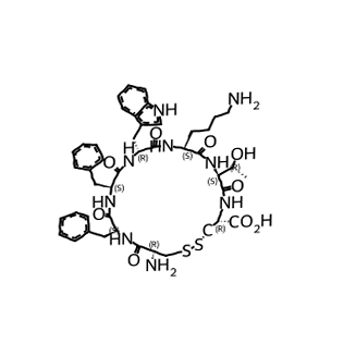 C[C@@H](O)[C@@H]1NC(=O)[C@H](CCCCN)NC(=O)[C@@H](Cc2c[nH]c3ccccc23)NC(=O)[C@H](Cc2ccccc2)NC(=O)[C@H](Cc2ccccc2)NC(=O)[C@@H](N)CSSC[C@@H](C(=O)O)NC1=O